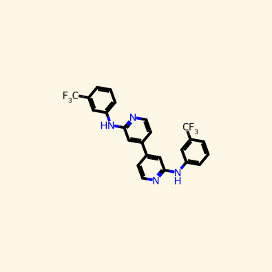 FC(F)(F)c1cccc(Nc2cc(-c3ccnc(Nc4cccc(C(F)(F)F)c4)c3)ccn2)c1